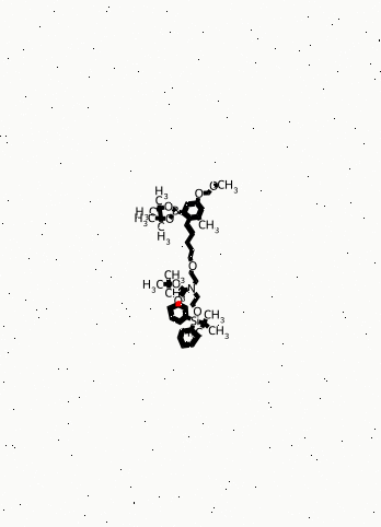 COCOc1cc(C)c(/C=C/CCCOCCN(CCO[Si](c2ccccc2)(c2ccccc2)C(C)(C)C)C(=O)OC(C)(C)C)c(B2OC(C)(C)C(C)(C)O2)c1